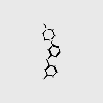 CC1C=C(Sc2cccc(N3CCN(C)CC3)c2)C=CC1